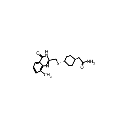 Cc1cccc2c(=O)[nH]c(CS[C@H]3CC[C@H](CC(N)=O)CC3)nc12